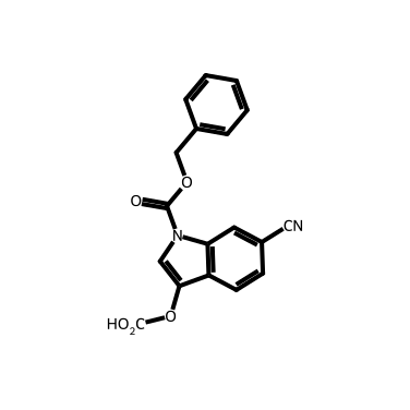 N#Cc1ccc2c(OC(=O)O)cn(C(=O)OCc3ccccc3)c2c1